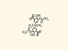 CC(=O)Oc1cc(C(C)(C)c2cc(OC(C)=O)c(O)c([N+](=O)[O-])c2)cc([N+](=O)[O-])c1O